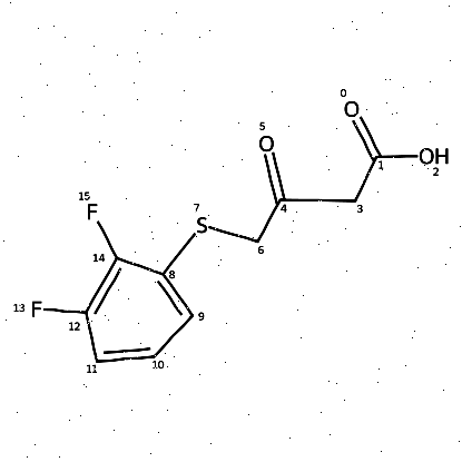 O=C(O)CC(=O)CSc1cccc(F)c1F